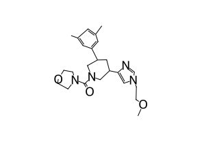 COCCn1cnc(C2CC(c3cc(C)cc(C)c3)CN(C(=O)N3CCOCC3)C2)c1